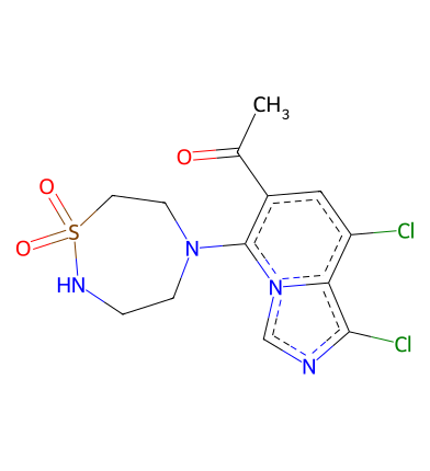 CC(=O)c1cc(Cl)c2c(Cl)ncn2c1N1CCNS(=O)(=O)CC1